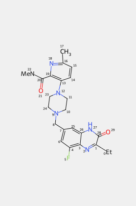 CCc1nc2c(F)cc(CN3CCN(c4ccc(C)nc4C(=O)NC)CC3)cc2[nH]c1=O